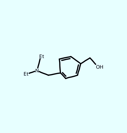 CCN(CC)Cc1ccc(CO)cc1